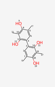 Cc1cc(-c2cc(C)c(O)c(C)c2O)c(O)c(C)c1O